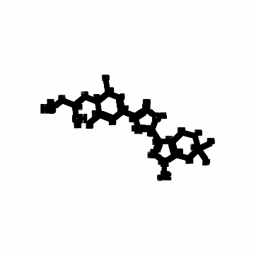 CCn1nc(-c2nc(C3=CC(C)C(CC(O)CO)C(C)=C3)no2)c2c1CC(C)(C)CC2